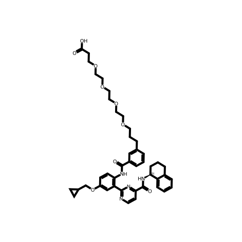 O=C(O)CCOCCOCCOCCOCCCc1cccc(C(=O)Nc2ccc(OCC3CC3)cc2-c2nccc(C(=O)N[C@H]3CCCc4ccccc43)n2)c1